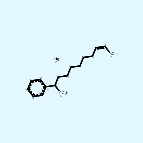 CCCCCCCC/C=C\CCCCCCC(C(=O)O)c1ccccc1.[Hg]